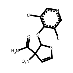 NC(=O)C1([N+](=O)[O-])C=CSC1Sc1c(Cl)cncc1Cl